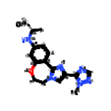 CCn1ncnc1-c1cn2c(n1)-c1ccc(N[C@@H](C)C=O)cc1OCC2